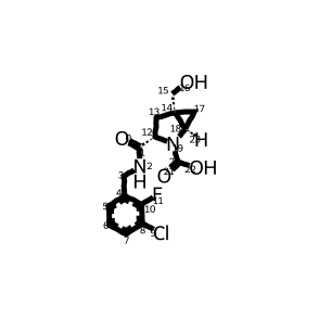 O=C(NCc1cccc(Cl)c1F)[C@@H]1C[C@@]2(CO)C[C@H]2N1C(=O)O